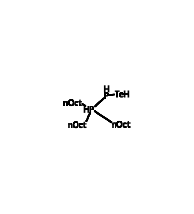 CCCCCCCC[PH](CCCCCCCC)(CCCCCCCC)P[TeH]